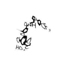 O=C(NCCc1cccn1-c1ccc(C(F)(F)F)cc1)c1ccc(Oc2cc3c(cc2Cl)C(C(=O)O)CCO3)cc1